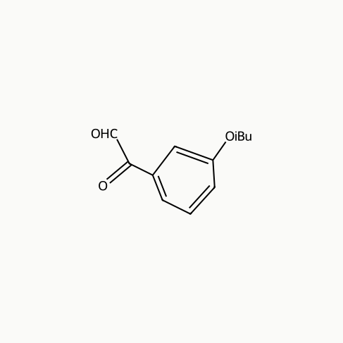 CC(C)COc1cccc(C(=O)C=O)c1